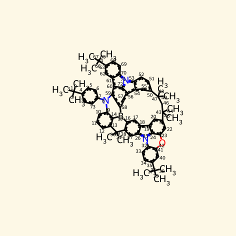 CC(C)(C)c1ccc(N2c3cccc4c3B3c5cc6c7cc(cc8c7n(c6cc5C4(C)C)-c4ccc(C(C)(C)C)cc4O8)C(C)(C)CC(C)(C)c4ccc5c(c4)c4cc3c2c2c3cc(C(C)(C)C)ccc3n5c42)cc1